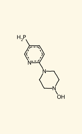 ON1CCN(c2ccc(P)cn2)CC1